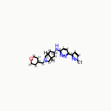 CCn1ccc(-c2ccc(N[C@H]3C[C@@H]4CN(CC5CCOCC5)C[C@@H]4C3)nn2)n1